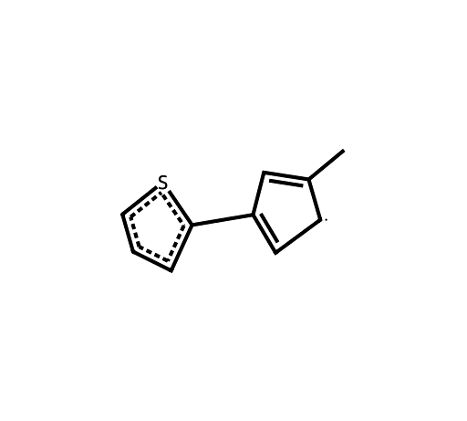 CC1=CC(c2cccs2)=C[CH]1